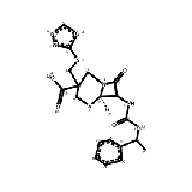 CC(NC(=O)NC1C(=O)N2CC(CSc3nnco3)(C(=O)O)CS[C@H]12)c1ccccc1